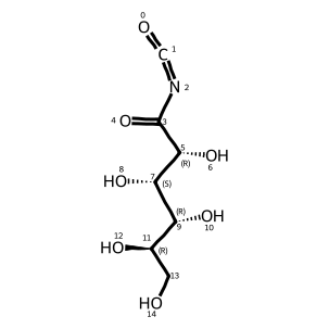 O=C=NC(=O)[C@H](O)[C@@H](O)[C@H](O)[C@H](O)CO